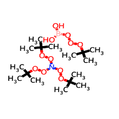 CC(C)(C)OON(OOC(C)(C)C)OOC(C)(C)C.CC(C)(C)OOOB(O)O